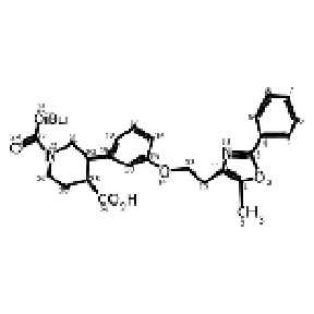 Cc1oc(-c2ccccc2)nc1CCOc1cccc(C2CN(C(=O)OCC(C)C)CCC2C(=O)O)c1